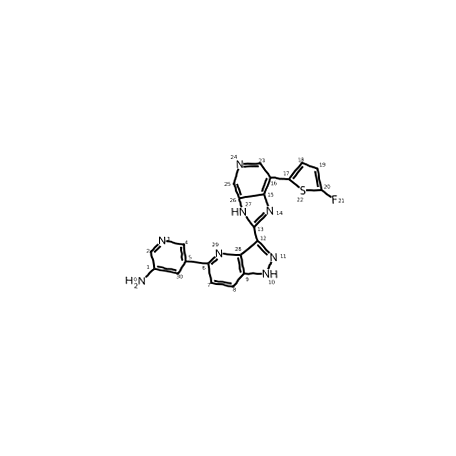 Nc1cncc(-c2ccc3[nH]nc(-c4nc5c(-c6ccc(F)s6)cncc5[nH]4)c3n2)c1